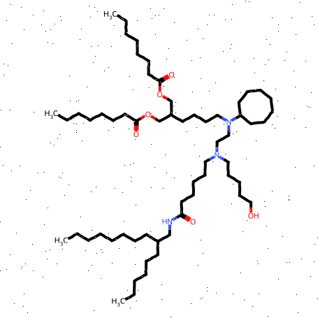 CCCCCCCCC(CCCCCC)CNC(=O)CCCCCN(CCCCCO)CCN(CCCCC(COC(=O)CCCCCCC)COC(=O)CCCCCCC)C1CCCCCCC1